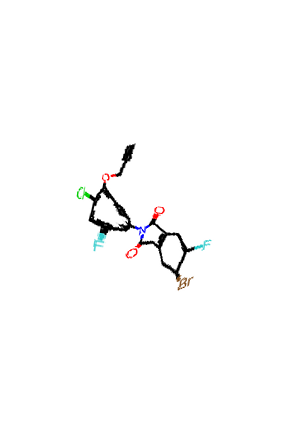 C#CCOc1cc(N2C(=O)C3=C(CC(Br)C(F)C3)C2=O)c(F)cc1Cl